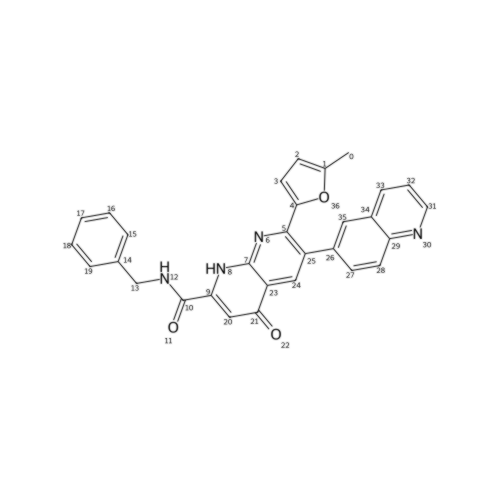 Cc1ccc(-c2nc3[nH]c(C(=O)NCc4ccccc4)cc(=O)c3cc2-c2ccc3ncccc3c2)o1